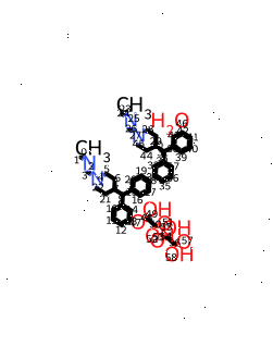 CCN=CN1CCC(C(c2ccccc2)c2ccccc2)CC1.CCN=CN1CCC(C(c2ccccc2)c2ccccc2)CC1.O.O=C(O)C(=O)O.O=C(O)C(=O)O